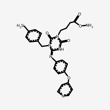 NOC(=O)CCCn1c(=O)[nH]/c(=N\c2ccc(Oc3ccncc3)cc2)n(Cc2ccc([SiH3])cc2)c1=O